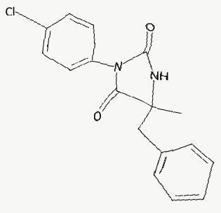 CC1(Cc2ccccc2)NC(=O)N(c2ccc(Cl)cc2)C1=O